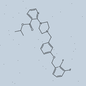 CC(C)OC(=O)c1cccnc1N1CCN(Cc2cccc(OCc3cccc(F)c3F)c2)CC1